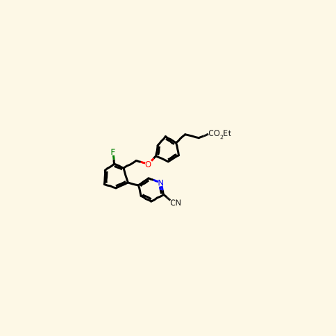 CCOC(=O)CCc1ccc(OCc2c(F)cccc2-c2ccc(C#N)nc2)cc1